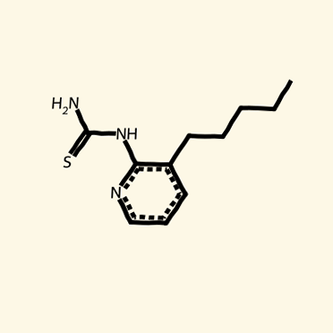 CCCCCc1cccnc1NC(N)=S